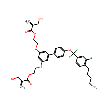 C=C(CO)C(=O)OCCOc1cc(OCCOC(=O)C(=C)CO)cc(-c2ccc(OC(F)(F)c3ccc(CCCCC(F)(F)F)c(F)c3)cc2)c1